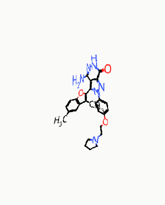 Cc1ccc2oc(-c3c4c(N)n[nH]c(=O)c4nn3-c3ccc(OCCN4CCCC4)cc3)c(C)c2c1